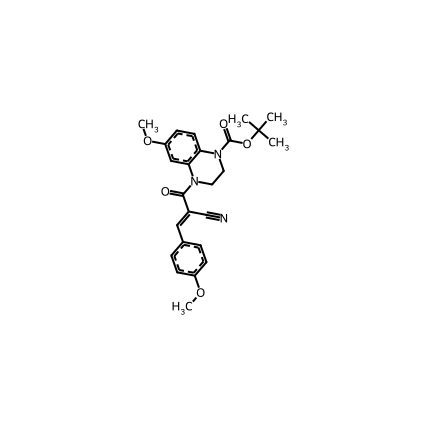 COc1ccc(C=C(C#N)C(=O)N2CCN(C(=O)OC(C)(C)C)c3ccc(OC)cc32)cc1